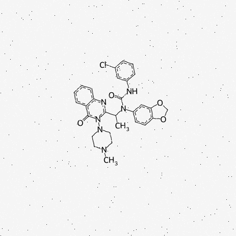 CC(c1nc2ccccc2c(=O)n1N1CCN(C)CC1)N(C(=O)Nc1cccc(Cl)c1)c1ccc2c(c1)OCO2